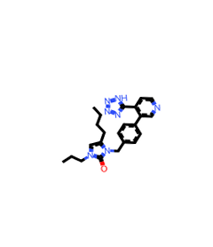 CCCCc1cn(CCC)c(=O)n1Cc1ccc(-c2cnccc2-c2nnn[nH]2)cc1